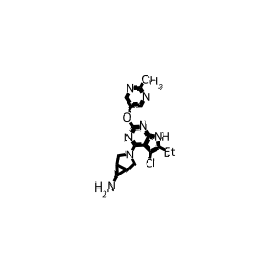 CCc1[nH]c2nc(Oc3cnc(C)nc3)nc(N3CC4C(N)C4C3)c2c1Cl